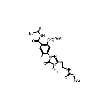 CCC[C@H](C)Oc1cc(-n2nc(CCNC(=O)OC(C)(C)C)n(C)c2=O)c(F)cc1C(=O)NC(CC)CC